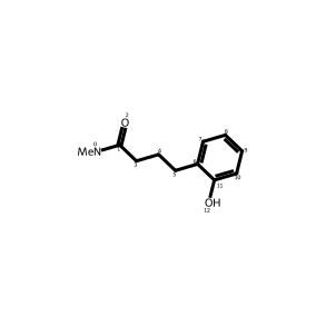 CNC(=O)CCCc1ccccc1O